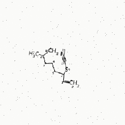 C=CC(CCCC(C)C)SC#N